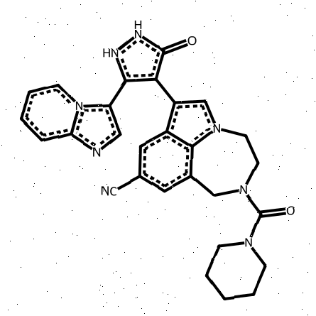 N#Cc1cc2c3c(c1)c(-c1c(-c4cnc5ccccn45)[nH][nH]c1=O)cn3CCN(C(=O)N1CCCCC1)C2